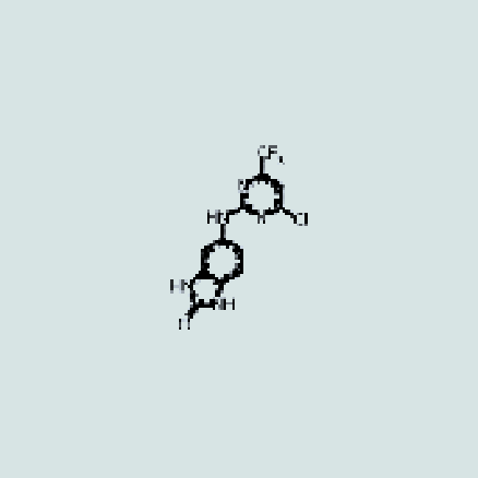 O=c1[nH]c2ccc(Nc3nc(Cl)cc(C(F)(F)F)n3)cc2[nH]1